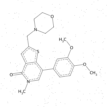 COc1ccc(-c2cn(C)c(=O)c3cc(CN4CCOCC4)sc23)cc1OC